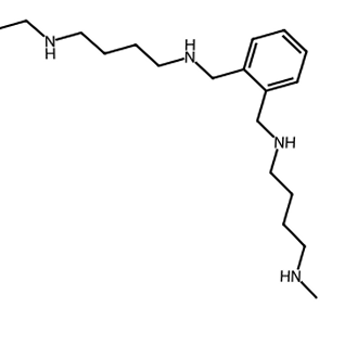 CCNCCCCNCc1ccccc1CNCCCCNC